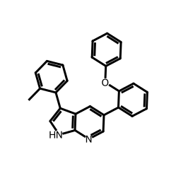 Cc1ccccc1-c1c[nH]c2ncc(-c3ccccc3Oc3ccccc3)cc12